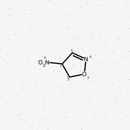 O=[N+]([O-])C1[C]ON=C1